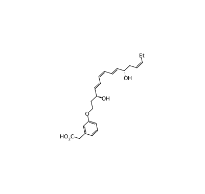 CC/C=C\C[C@H](O)/C=C/C=C\C=C\[C@@H](O)CCOc1cccc(CC(=O)O)c1